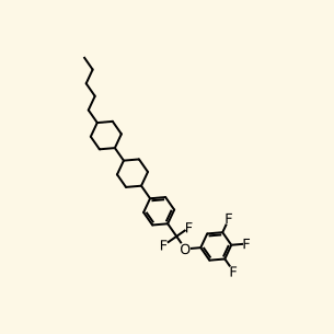 CCCCCC1CCC(C2CCC(c3ccc(C(F)(F)Oc4cc(F)c(F)c(F)c4)cc3)CC2)CC1